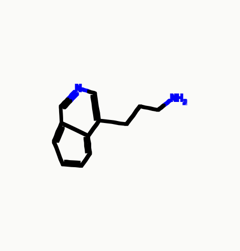 NCCCc1cncc2ccccc12